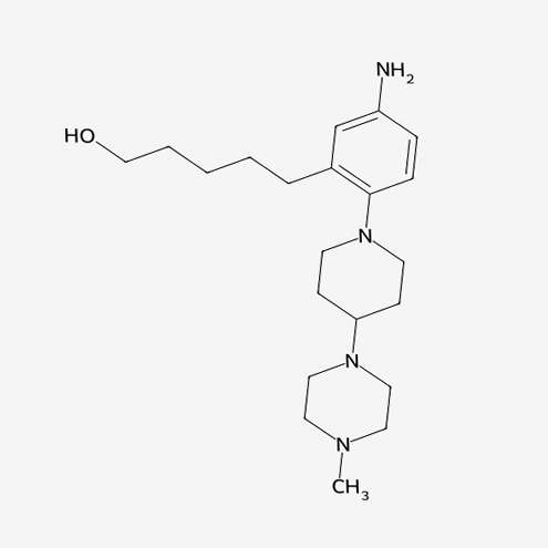 CN1CCN(C2CCN(c3ccc(N)cc3CCCCCO)CC2)CC1